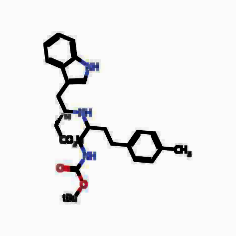 Cc1ccc(CCC(CNC(=O)OC(C)(C)C)N[C@H](CC(=O)O)Cc2c[nH]c3ccccc23)cc1